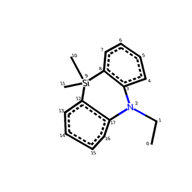 CCN1c2ccccc2[Si](C)(C)c2ccccc21